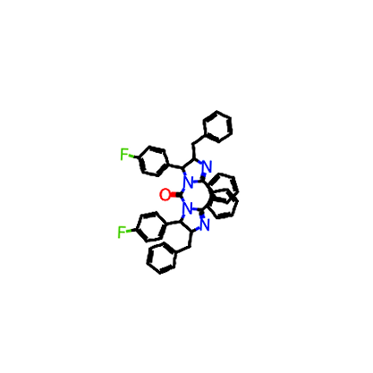 O=C(N1C(c2ccccc2)=NC(Cc2ccccc2)C1c1ccc(F)cc1)N1C(c2ccccc2)=NC(Cc2ccccc2)C1c1ccc(F)cc1